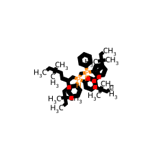 CCC(C)(C)C/C=C(/CCC(C)(C)CC)C[PH](C[PH](C/C(=C\CCC(C)(C)CC)CC(C)(C)CC)(c1ccccc1)c1ccccc1)(c1ccccc1)c1ccccc1